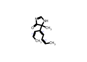 C\C=C/C=C(\C=C/C)C1(C)NC=NC1=O